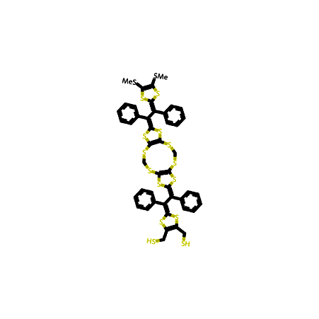 CSC1=C(SC)SC(=C(C(=C2SC3=C(SCSC4=C(SCS3)SC(=C(C(=C3SC(CS)=C(CS)S3)c3ccccc3)c3ccccc3)S4)S2)c2ccccc2)c2ccccc2)S1